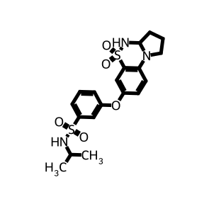 CC(C)NS(=O)(=O)c1cccc(Oc2ccc3c(c2)S(=O)(=O)NC2CCCN32)c1